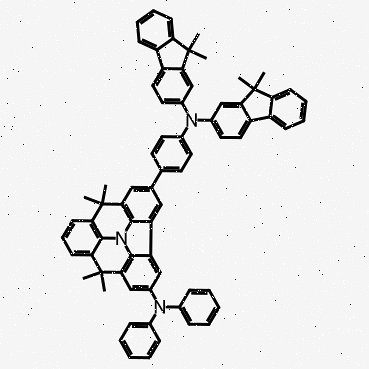 CC1(C)c2ccccc2-c2ccc(N(c3ccc(-c4cc5c6c(c4)c4cc(N(c7ccccc7)c7ccccc7)cc7c4n6-c4c(cccc4C7(C)C)C5(C)C)cc3)c3ccc4c(c3)C(C)(C)c3ccccc3-4)cc21